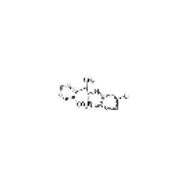 C=C(c1ccc2ccc(Cl)cc2n1)c1ccccc1C(=O)O